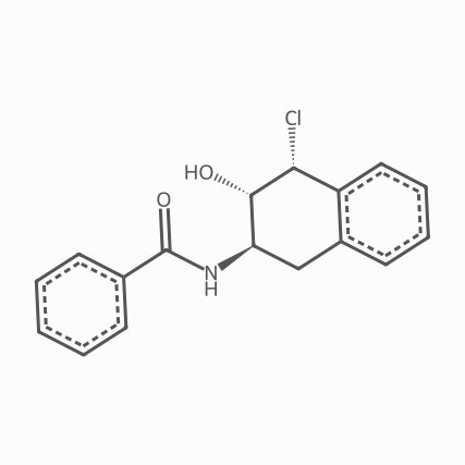 O=C(N[C@@H]1Cc2ccccc2[C@@H](Cl)[C@H]1O)c1ccccc1